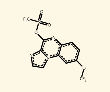 O=S(=O)(Oc1nc2ccc(OC(F)(F)F)cc2n2ccnc12)C(F)(F)F